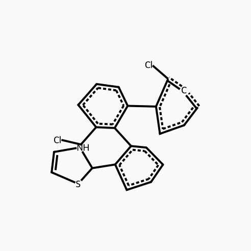 ClCc1cccc(-c2ccccc2Cl)c1-c1ccccc1C1NC=CS1